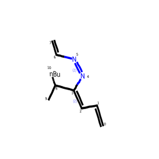 C=C/C=C(\N=N/C=C)C(C)CCCC